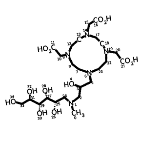 CN(CC(O)CN1CCN(CC(=O)O)CCN(CC(=O)O)CCN(CC(=O)O)CC1)C[C@H](O)[C@@H](O)[C@H](O)[C@H](O)CO